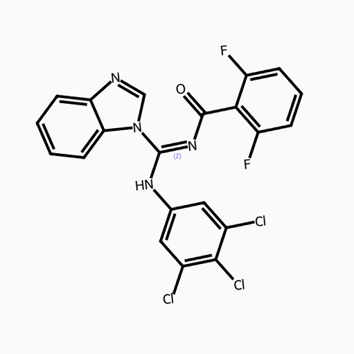 O=C(/N=C(/Nc1cc(Cl)c(Cl)c(Cl)c1)n1cnc2ccccc21)c1c(F)cccc1F